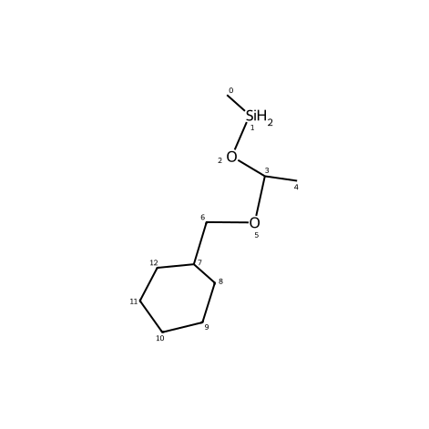 C[SiH2]OC(C)OCC1CCCCC1